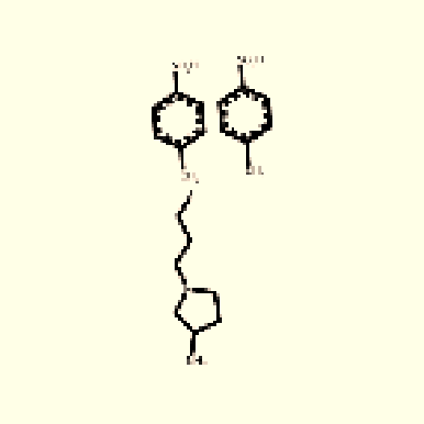 Cc1ccc(S(=O)(=O)O)cc1.Cc1ccc(S(=O)(=O)O)cc1.NC1CCN(CCCF)C1